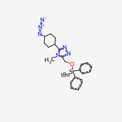 Cn1c(CO[Si](c2ccccc2)(c2ccccc2)C(C)(C)C)nnc1C1CCC(N=[N+]=[N-])CC1